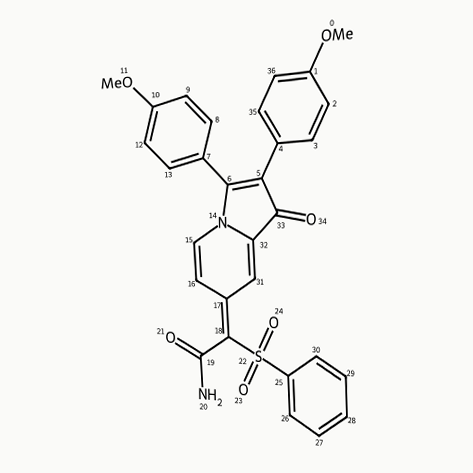 COc1ccc(C2=C(c3ccc(OC)cc3)N3C=CC(=C(C(N)=O)S(=O)(=O)c4ccccc4)C=C3C2=O)cc1